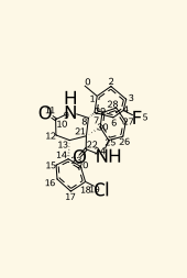 Cc1ccc(F)cc1[C@H]1NC(=O)C[C@@H](c2cccc(Cl)c2)[C@]12C(=O)Nc1ccccc12